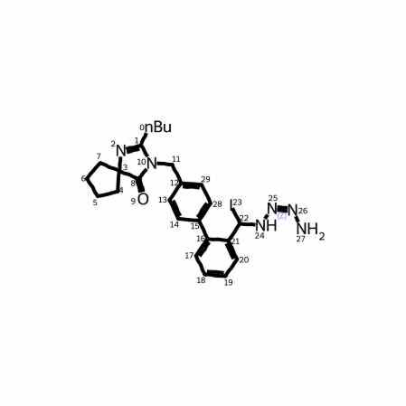 CCCCC1=NC2(CCCC2)C(=O)N1Cc1ccc(-c2ccccc2C(I)N/N=N\N)cc1